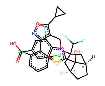 O=C(O)c1cc(F)c2nc(C3(O)[C@@H]4CC[C@H]3CC(OCc3c(-c5c(Cl)cccc5Cl)noc3C3CC3)(C(F)F)C4)sc2c1